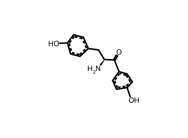 N[C@@H](Cc1ccc(O)cc1)C(=O)c1ccc(O)cc1